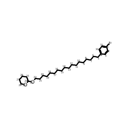 Ic1ccc(CCCCCCCCCCCCCCCCCCOC2CCCCO2)cc1